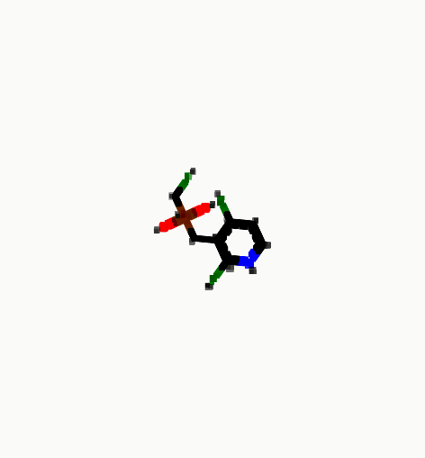 O=S(=O)(CF)Cc1c(F)ccnc1F